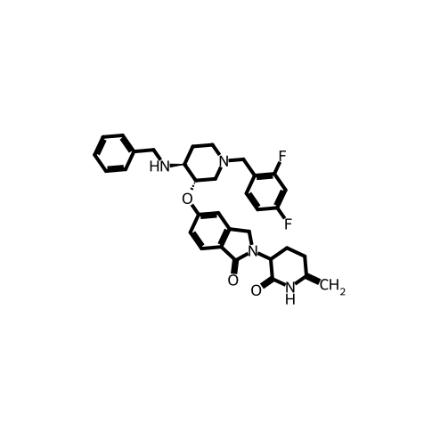 C=C1CCC(N2Cc3cc(O[C@H]4CN(Cc5ccc(F)cc5F)CC[C@@H]4NCc4ccccc4)ccc3C2=O)C(=O)N1